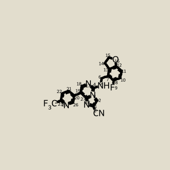 N#Cc1cn2c(NCc3c(F)ccc4c3CCO4)ncc(-c3ccc(C(F)(F)F)nc3)c2n1